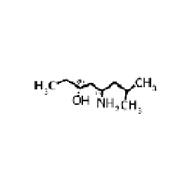 CC[C@@H](O)C[C@H](N)CC(C)C